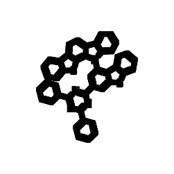 c1ccc(-c2nc(-c3ccccc3)nc(-c3cc(-n4c5ccccc5c5ccc6c7ccccc7sc6c54)c4c(c3)sc3ccccc34)n2)cc1